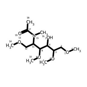 COCC(OC)C(O)C(OC)C(COC)N(C)C(C)=O